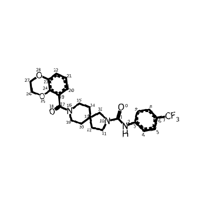 O=C(Nc1ccc(C(F)(F)F)cc1)N1CCC2(CCN(C(=O)c3cccc4c3OCCO4)CC2)C1